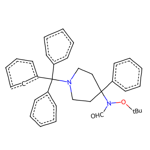 CC(C)(C)ON(C=O)C1(c2ccccc2)CCN(C(c2ccccc2)(c2ccccc2)c2ccccc2)CC1